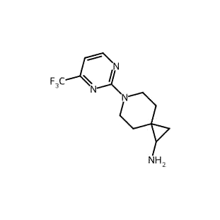 NC1CC12CCN(c1nccc(C(F)(F)F)n1)CC2